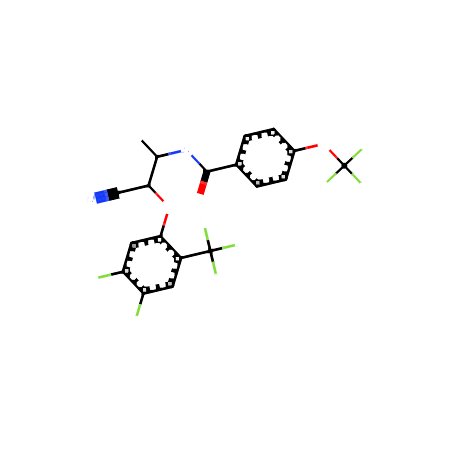 CC(NC(=O)c1ccc(OC(F)(F)F)cc1)C(C#N)Oc1cc(F)c(F)cc1C(F)(F)F